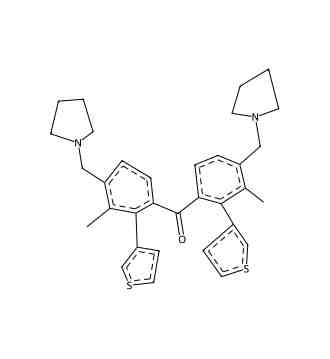 Cc1c(CN2CCCC2)ccc(C(=O)c2ccc(CN3CCCC3)c(C)c2-c2ccsc2)c1-c1ccsc1